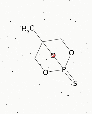 CC12COP(=S)(OC1)OC2